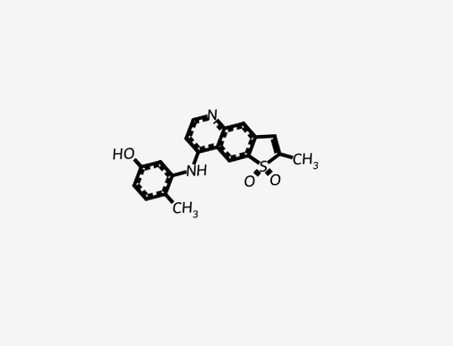 CC1=Cc2cc3nccc(Nc4cc(O)ccc4C)c3cc2S1(=O)=O